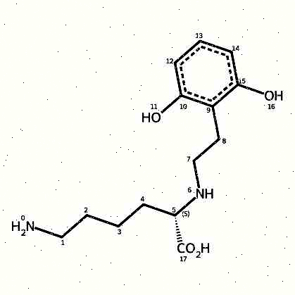 NCCCC[C@H](NCCc1c(O)cccc1O)C(=O)O